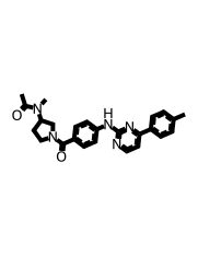 CC(=O)N(C)C1CCN(C(=O)c2ccc(Nc3nccc(-c4ccc(C)cc4)n3)cc2)C1